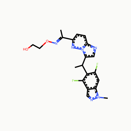 CC(=NOCCO)c1ccc2ncc(C(C)c3c(F)cc4c(cnn4C)c3F)n2n1